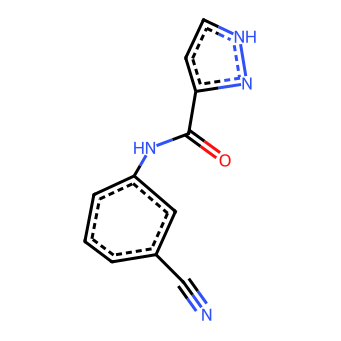 N#Cc1cccc(NC(=O)c2cc[nH]n2)c1